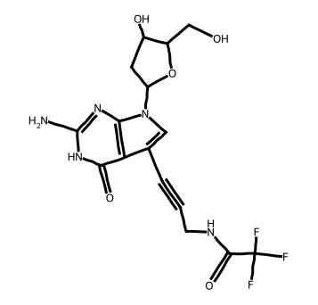 Nc1nc2c(c(C#CCNC(=O)C(F)(F)F)cn2C2CC(O)C(CO)O2)c(=O)[nH]1